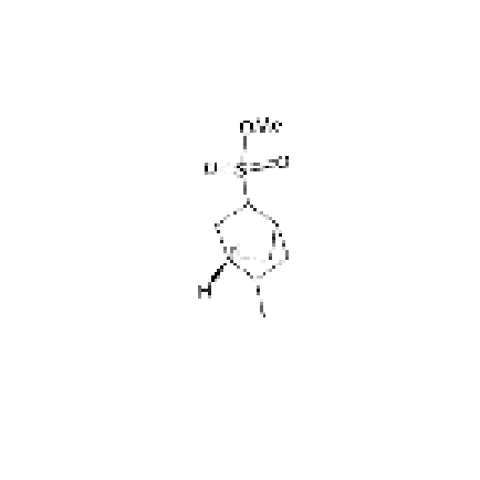 COS(=O)(=O)C1C[C@@H]2CC1CC2C